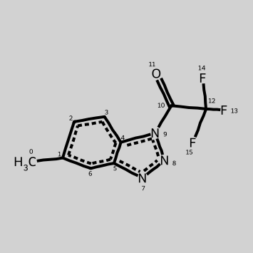 Cc1ccc2c(c1)nnn2C(=O)C(F)(F)F